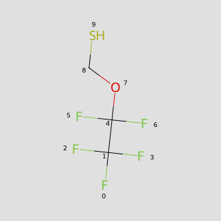 FC(F)(F)C(F)(F)OCS